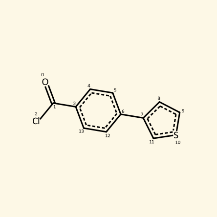 O=C(Cl)c1ccc(-c2ccsc2)cc1